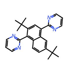 CC(C)(C)c1ccc2c(-c3ncccn3)c(C(C)(C)C)cc(-c3ncccn3)c2c1